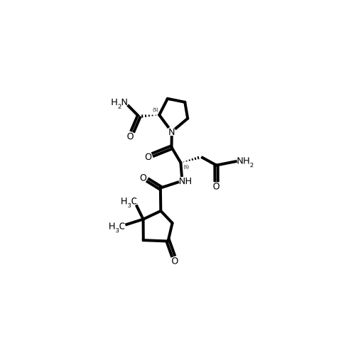 CC1(C)CC(=O)CC1C(=O)N[C@@H](CC(N)=O)C(=O)N1CCC[C@H]1C(N)=O